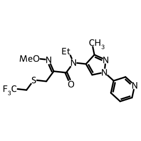 CCN(C(=O)C(CSCC(F)(F)F)=NOC)c1cn(-c2cccnc2)nc1C